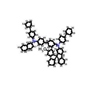 Cc1ccc(C2(c3ccccc3)c3ccccc3-c3ccc(N(c4ccc(-c5ccccc5)cc4)c4ccc(-c5ccc(N(c6ccc(-c7ccccc7)cc6)c6ccc7ccccc7c6)cc5)cc4)cc32)cc1